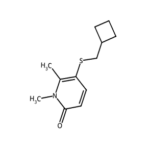 Cc1c(SCC2CCC2)ccc(=O)n1C